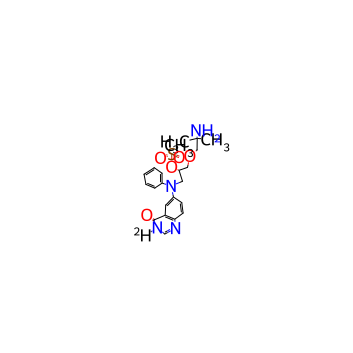 [2H]n1cnc2ccc(N(CC(COCC(C)(C)N)OS(C)(=O)=O)c3ccccc3)cc2c1=O